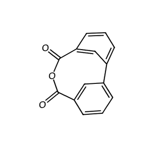 O=C1OC(=O)c2cccc(c2)-c2cccc1c2